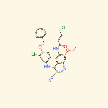 CCOc1cc2ncc(C#N)c(Nc3ccc(OCc4ccccc4)c(Cl)c3)c2cc1NC(=O)C=CCCl